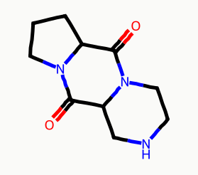 O=C1C2CNCCN2C(=O)C2CCCN12